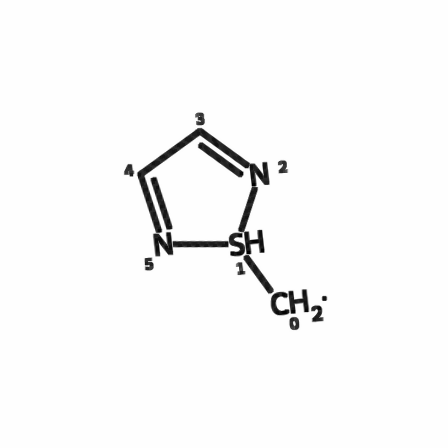 [CH2][SH]1N=CC=N1